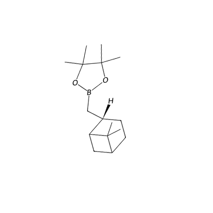 CC1(C)C2CC[C@@H](CB3OC(C)(C)C(C)(C)O3)C1C2